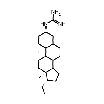 CC[C@H]1CCC2C3CCC4C[C@H](NC(=N)N)CC[C@]4(C)C3CC[C@@]21C